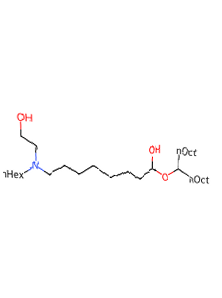 CCCCCCCCC(CCCCCCCC)OC(O)CCCCCCCN(CCO)CCCCCC